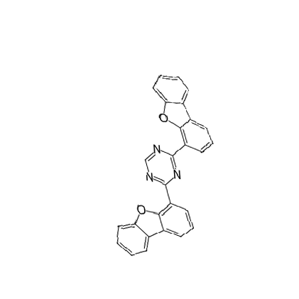 c1ccc2c(c1)oc1c(-c3ncnc(-c4cccc5c4oc4ccccc45)n3)cccc12